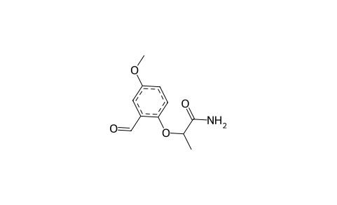 COc1ccc(OC(C)C(N)=O)c(C=O)c1